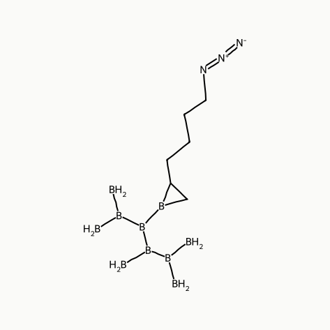 BB(B)B(B)B(B(B)B)B1CC1CCCCN=[N+]=[N-]